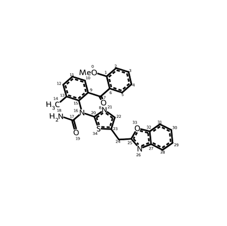 COc1ccccc1C(=O)c1cccc(C)c1N(C(N)=O)c1ncc(Cc2nc3ccccc3o2)s1